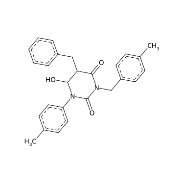 Cc1ccc(CN2C(=O)C(Cc3ccccc3)C(O)N(c3ccc(C)cc3)C2=O)cc1